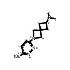 CN(C)C1CC2(C1)CN(c1ccc(C(C)(C)C)nn1)C2